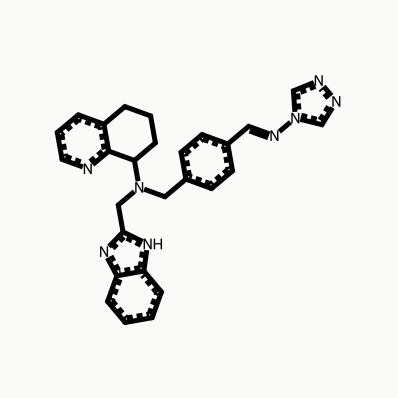 C(=Nn1cnnc1)c1ccc(CN(Cc2nc3ccccc3[nH]2)C2CCCc3cccnc32)cc1